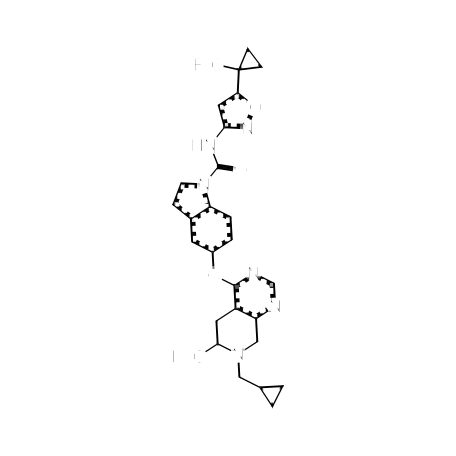 CC1Cc2c(ncnc2Oc2ccc3c(ccn3C(=O)Nc3cc(C4(C(F)(F)F)CC4)on3)c2)CN1CC1CC1